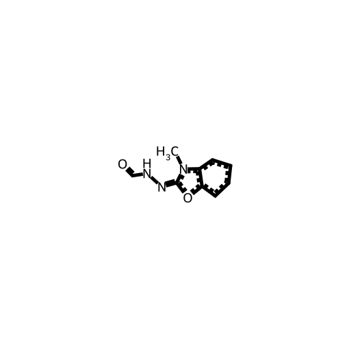 Cn1c(=NNC=O)oc2ccccc21